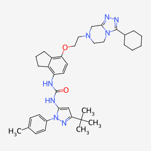 Cc1ccc(-n2nc(C(C)(C)C)cc2NC(=O)Nc2ccc(OCCN3CCn4c(nnc4C4CCCCC4)C3)c3c2CCC3)cc1